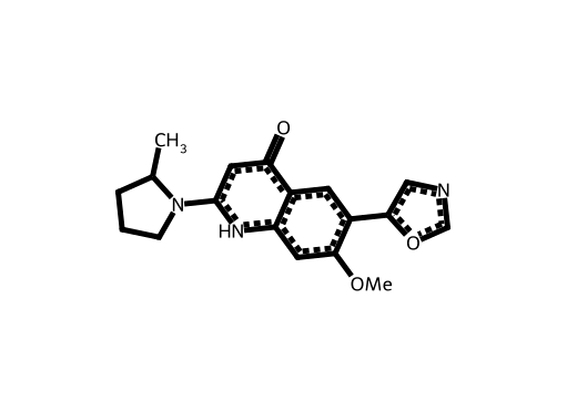 COc1cc2[nH]c(N3CCCC3C)cc(=O)c2cc1-c1cnco1